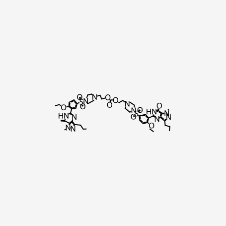 C=C1NC(c2cc(S(=O)(=O)N3CCN(CCOC(=O)OCCN4CCN(S(=O)(=O)c5ccc(OCC)c(-c6nc7c(CCC)nn(C)c7c(=O)[nH]6)c5)CC4)CC3)ccc2OCC)=Nc2c(CCC)nn(C)c21